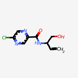 C=CC(CO)NC(=O)c1cnc(Cl)cn1